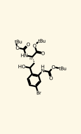 CC(C)(C)OC(=O)Nc1cc(Br)ccc1C(O)C[C@H](NC(=O)OC(C)(C)C)C(=O)OC(C)(C)C